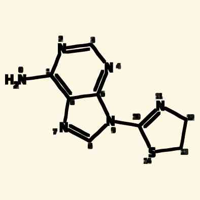 Nc1ncnc2c1ncn2C1=NCCS1